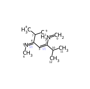 C=N/C(=C\C(=N/C)C(C)C)C(C)C